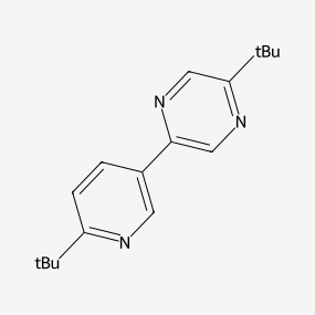 CC(C)(C)c1ccc(-c2cnc(C(C)(C)C)cn2)cn1